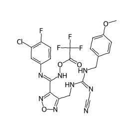 COc1ccc(CNC(=NC#N)NCc2nonc2C(=Nc2ccc(F)c(Cl)c2)NOC(=O)C(F)(F)F)cc1